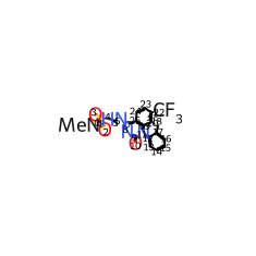 CNS(=O)(=O)CCNc1nc(=O)n(-c2ccccc2C)c2cc(C(F)(F)F)ccc12